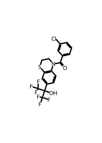 O=C(c1cccc(Cl)c1)N1CCSc2cc(C(O)(C(F)(F)F)C(F)(F)F)ccc21